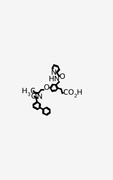 Cc1oc(-c2cccc(-c3ccccc3)c2)nc1CCOc1ccc(CCC(=O)O)c(CNC(=O)c2ccccn2)c1